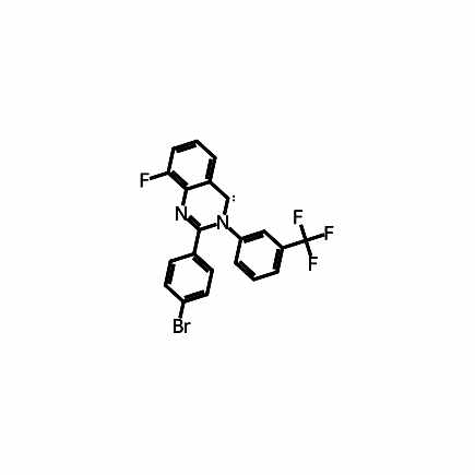 Fc1cccc2c1N=C(c1ccc(Br)cc1)N(c1cccc(C(F)(F)F)c1)[C]2